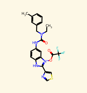 CCN(Cc1cccc(C)c1)C(=O)Nc1ccc2[nH]c(-c3cscn3)[n+](OC(=O)C(F)(F)F)c2c1